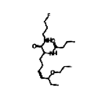 CCCOC(/C=C\CCC(NC(=O)CCC)C(=O)NCCCF)CC